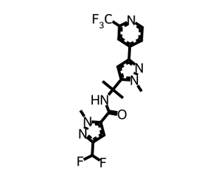 Cn1nc(C(F)F)cc1C(=O)NC(C)(C)c1cc(-c2ccnc(C(F)(F)F)c2)nn1C